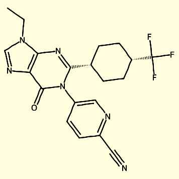 CCn1cnc2c(=O)n(-c3ccc(C#N)nc3)c([C@H]3CC[C@@H](C(F)(F)F)CC3)nc21